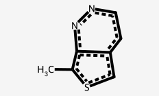 Cc1scc2ccnnc12